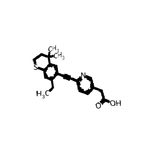 CCc1cc2c(cc1C#Cc1ccc(CC(=O)O)cn1)C(C)(C)CCS2